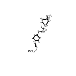 CCCCCCCCC#Cc1ccc(CNC(C)(C)c2ccc(C(F)(F)F)cc2)cc1